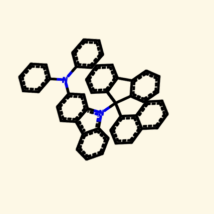 c1ccc(N(c2ccccc2)c2ccc3c4ccccc4n(C4(c5cccc6ccccc56)c5ccccc5-c5ccccc54)c3c2)cc1